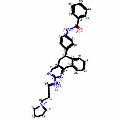 O=C(Nc1ccc(C2Cc3cnc(NCCCN4CCCC4)nc3-c3ccccc32)cc1)c1ccccc1